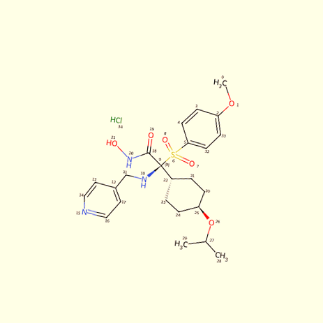 COc1ccc(S(=O)(=O)[C@@](NCc2ccncc2)(C(=O)NO)[C@H]2CC[C@H](OC(C)C)CC2)cc1.Cl